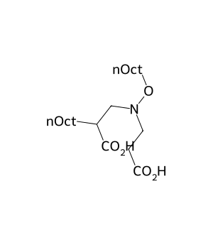 CCCCCCCCON(CCC(=O)O)CC(CCCCCCCC)C(=O)O